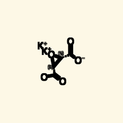 O=C([O-])[C@H]1O[C@H]1C(=O)[O-].[K+].[K+]